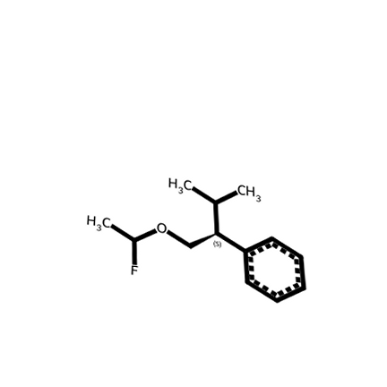 CC(F)OC[C@H](c1ccccc1)C(C)C